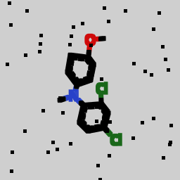 COc1ccc(N(C)c2ccc(Cl)cc2Cl)cc1